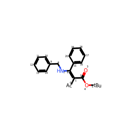 CC(=O)/C(C(=O)OC(C)(C)C)=C(\NCc1ccccc1)c1ccccc1